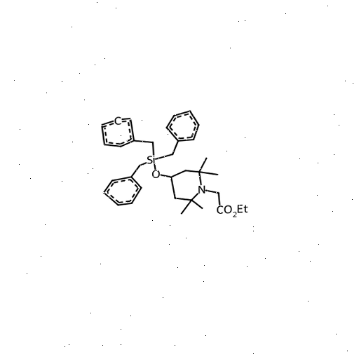 CCOC(=O)CN1C(C)(C)CC(O[Si](Cc2ccccc2)(Cc2ccccc2)Cc2ccccc2)CC1(C)C